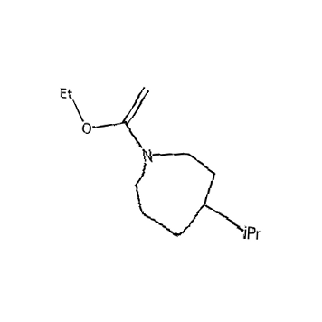 C=C(OCC)N1CCCC(C(C)C)CC1